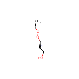 CCOO/C=C/CO